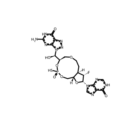 Nc1nc2c(nnn2[C@H](O)[C@H]2COCC[C@H]3[C@H](F)[C@H](n4cnc5c(=O)[nH]cnc54)O[C@@H]3COP(=O)(S)O2)c(=O)[nH]1